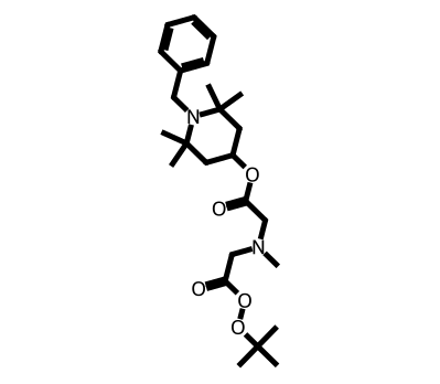 CN(CC(=O)OOC(C)(C)C)CC(=O)OC1CC(C)(C)N(Cc2ccccc2)C(C)(C)C1